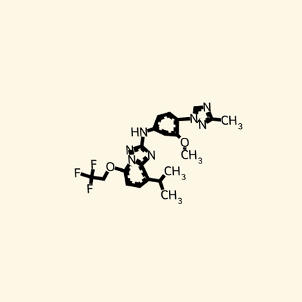 COc1cc(Nc2nc3c(C(C)C)ccc(OCC(F)(F)F)n3n2)ccc1-n1cnc(C)n1